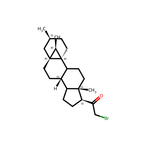 C[C@H]1CC[C@]23C4CC[C@@]5(C)C(CC[C@@H]5C(=O)CBr)[C@@H]4CC[C@@]2(C1)[C@H]3C